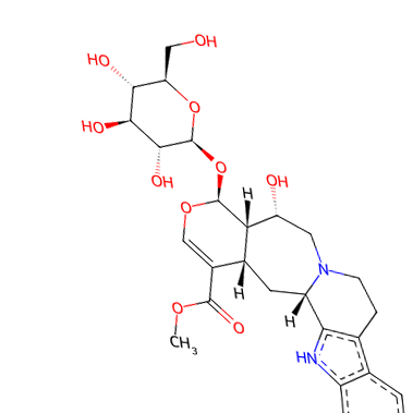 COC(=O)C1=CO[C@@H](O[C@@H]2O[C@H](CO)[C@@H](O)[C@H](O)[C@H]2O)[C@@H]2[C@H](O)CN3CCc4c([nH]c5ccccc45)[C@@H]3C[C@H]12